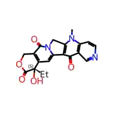 CC[C@@]1(O)C(=O)OCc2c1cc1n(c2=O)Cc2c-1c(=O)c1cnccc1n2C